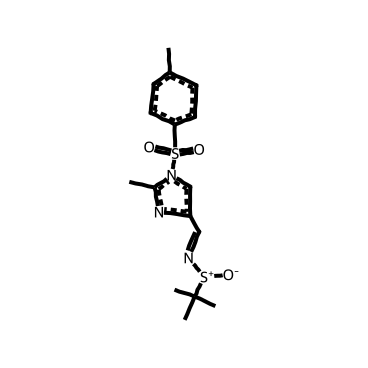 Cc1ccc(S(=O)(=O)n2cc(C=N[S+]([O-])C(C)(C)C)nc2C)cc1